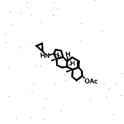 CC(=O)O[C@H]1CC[C@@]2(C)C(=CC[C@H]3[C@@H]4CC[C@H](NC5CC5)[C@@]4(C)CC[C@@H]32)C1